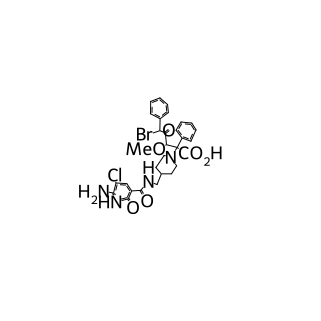 COC(C(=O)C(Br)c1ccccc1)C(C(=O)O)(c1ccccc1)N1CCC(CNC(=O)c2cc(Cl)c(N)[nH]c2=O)CC1